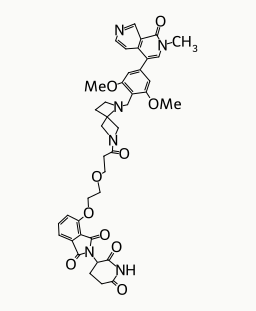 COc1cc(-c2cn(C)c(=O)c3cnccc23)cc(OC)c1CN1CCC12CN(C(=O)CCOCCOc1cccc3c1C(=O)N(C1CCC(=O)NC1=O)C3=O)C2